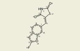 O=C1NC(=O)/C(=C\c2ccc3cc(F)oc3c2)S1